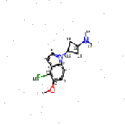 COc1ccc2c(ccn2C2CC(N(C)C)C2)c1F